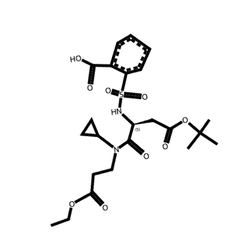 CCOC(=O)CCN(C(=O)[C@H](CC(=O)OC(C)(C)C)NS(=O)(=O)c1ccccc1C(=O)O)C1CC1